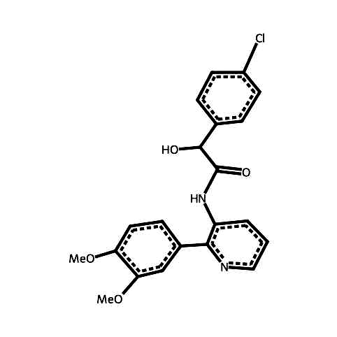 COc1ccc(-c2ncccc2NC(=O)C(O)c2ccc(Cl)cc2)cc1OC